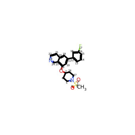 CS(=O)(=O)N1CCC(Oc2cc(-c3cccc(F)c3)cc3ccncc23)CC1